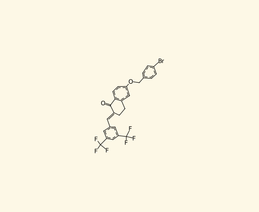 O=C1/C(=C/c2cc(C(F)(F)F)cc(C(F)(F)F)c2)CCc2cc(OCc3ccc(Br)cc3)ccc21